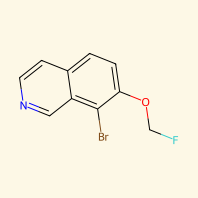 FCOc1ccc2ccncc2c1Br